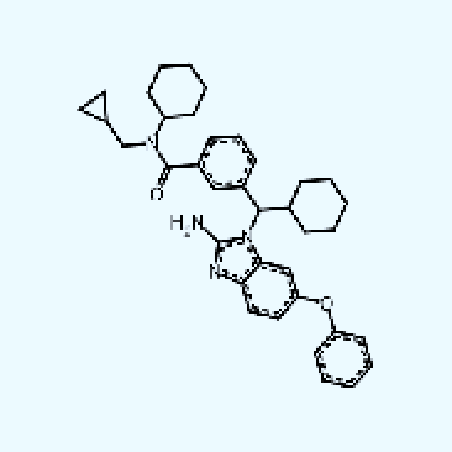 Nc1nc2ccc(Oc3ccccc3)cc2n1C(c1cccc(C(=O)N(CC2CC2)C2CCCCC2)c1)C1CCCCC1